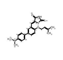 CC(C)=CCOc1ccc(-c2ccc(N(C)C)cc2)cc1C=C1SC(=S)NC1=O